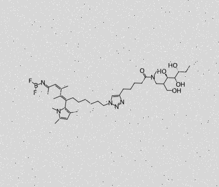 CC[C@@H](O)C(O)[C@H](O)C(CO)CN(C)C(=O)CCCCc1cn(CCCCCC\C(=C(C)/C(C)=C\C(C)=N\B(F)F)c2c(C)cc(C)n2C)nn1